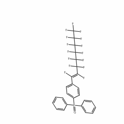 O=P(c1ccccc1)(c1ccccc1)c1ccc(C(F)=C(F)C(F)(F)C(F)(F)C(F)(F)C(F)(F)C(F)(F)C(F)(F)F)cc1